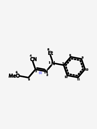 CCN(/N=C(\C#N)COC)c1ccccc1